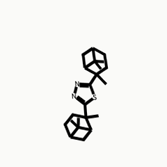 CC1(c2nnc(C3(C)CCC4CC3C4(C)C)s2)CCC2CC1C2(C)C